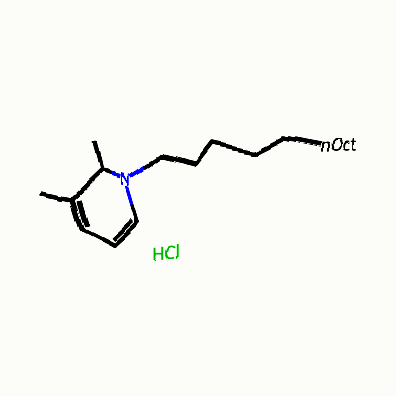 CCCCCCCCCCCCCN1C=CC=C(C)C1C.Cl